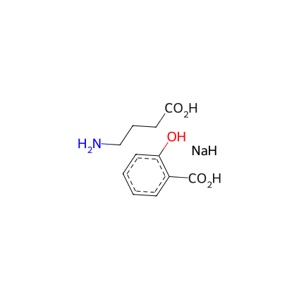 NCCCC(=O)O.O=C(O)c1ccccc1O.[NaH]